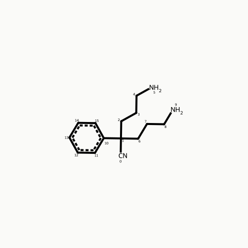 N#CC(CCCN)(CCCN)c1ccccc1